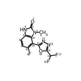 Cn1c(=O)[nH]c2ccc(F)c(-c3nnc(C(F)F)o3)c21